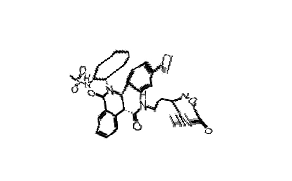 CS(=O)(=O)N[C@H]1CCCC[C@@H]1N1C(=O)c2ccccc2[C@@H](C(=O)NCCc2noc(=O)[nH]2)[C@@H]1c1ccc(Cl)cc1